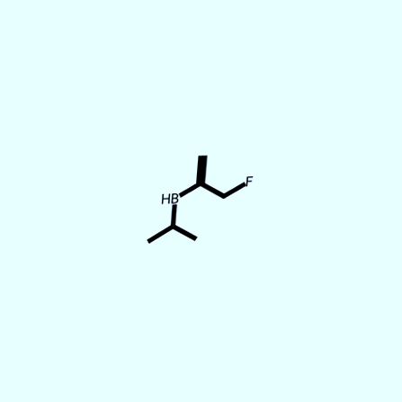 C=C(BC(C)C)CF